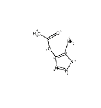 CC(=O)Oc1nnsc1N